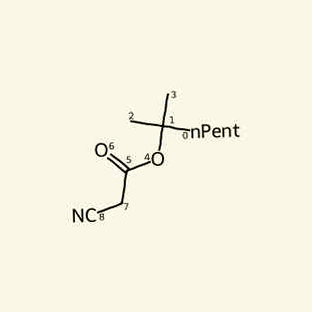 CCCCCC(C)(C)OC(=O)CC#N